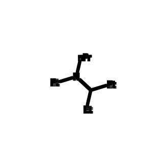 CCCN(CC)C(CC)CC